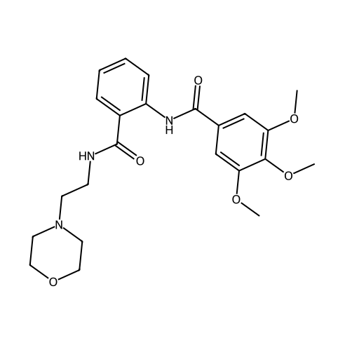 COc1cc(C(=O)Nc2ccccc2C(=O)NCCN2CCOCC2)cc(OC)c1OC